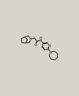 O=C(CN1CC2CCC(C2)C1)Nc1ccc(N2CCCCCC2)nc1